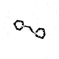 C(=C\[n+]1ccccc1)/[n+]1ccccc1